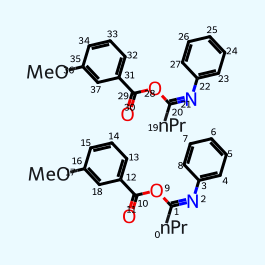 CCCC(=Nc1ccccc1)OC(=O)c1cccc(OC)c1.CCCC(=Nc1ccccc1)OC(=O)c1cccc(OC)c1